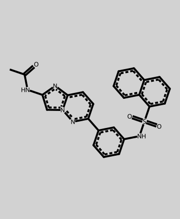 CC(=O)Nc1cn2nc(-c3cccc(NS(=O)(=O)c4cccc5ccccc45)c3)ccc2n1